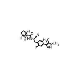 Cc1c(-c2ccc(CC(C#N)NC(=O)[C@H]3N[C@@H]4CC[C@H]3C4)c(F)c2)cnn1C